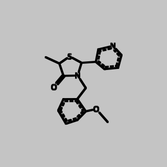 COc1ccccc1CN1C(=O)C(C)SC1c1cccnc1